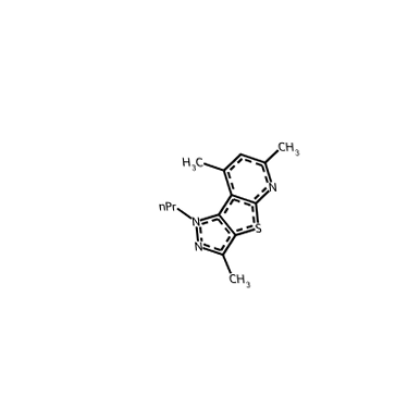 CCCn1nc(C)c2sc3nc(C)cc(C)c3c21